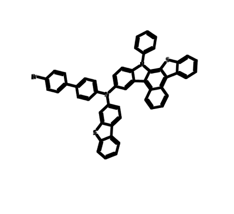 Brc1ccc(-c2ccc(N(c3ccc4c(c3)sc3ccccc34)c3ccc4c(c3)c3c5ccccc5c5c6ccccc6sc5c3n4-c3ccccc3)cc2)cc1